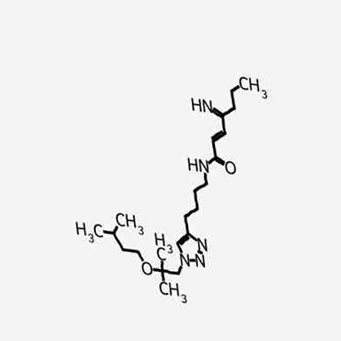 CCCC(=N)/C=C/C(=O)NCCCCc1cn(CC(C)(C)OCCC(C)C)nn1